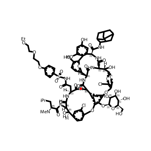 CCOCCOCCOc1ccc(S(=O)(=O)NC(=O)C[C@@H]2NC(=O)[C@H](NC(=O)[C@@H](CC(C)C)NC)[C@H](O)c3ccc(c(Cl)c3)Oc3cc4cc(c3O[C@@H]3O[C@H](CO)[C@@H](O)[C@H](O)[C@H]3O)Oc3ccc(cc3Cl)[C@@H](O)[C@@H]3NC(=O)[C@H](NC(=O)[C@@H]4NC2=O)c2ccc(O)c(c2)-c2c(O)cc(O)cc2[C@@H](C(=O)NC2C4CC5CC(C4)CC2C5)NC3=O)cc1